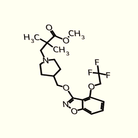 COC(=O)C(C)(C)CN1CCC(COc2noc3cccc(OCC(F)(F)F)c23)CC1